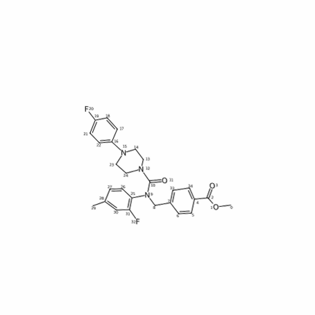 COC(=O)c1ccc(CN(C(=O)N2CCN(c3ccc(F)cc3)CC2)c2ccc(C)cc2F)cc1